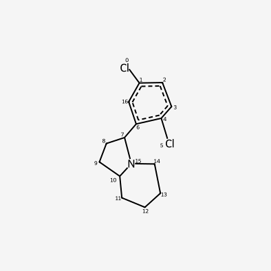 Clc1ccc(Cl)c(C2CCC3CCCCN32)c1